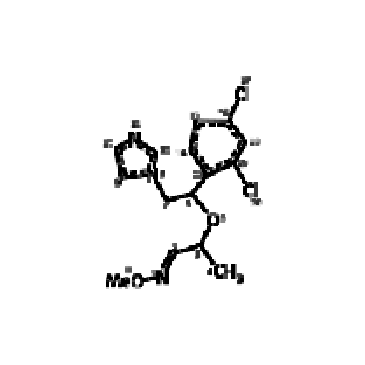 CON=CC(C)OC(Cn1ccnc1)c1ccc(Cl)cc1Cl